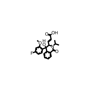 COc1cc(F)ccc1C1(O)c2ccccc2C(=O)N(C(C)C)C1C=CC(=O)O